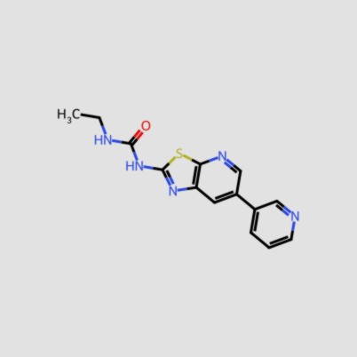 CCNC(=O)Nc1nc2cc(-c3cccnc3)cnc2s1